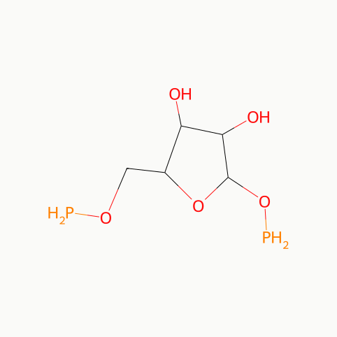 OC1C(COP)OC(OP)C1O